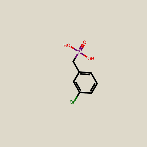 O=P(O)(O)Cc1cccc(Br)c1